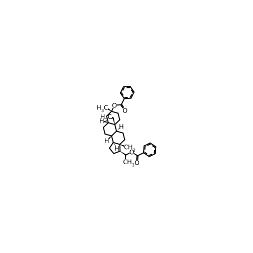 C=C[C@]12CC[C@@](C)(OC(=O)c3ccccc3)C[C@H]1CC[C@H]1[C@@H]3CC[C@H](C(C)OC(=O)c4ccccc4)[C@@]3(C)CC[C@@H]12